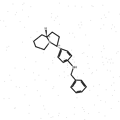 c1ccc(CNc2ccc([C@H]3CC[C@H]4CCCCN43)cc2)cc1